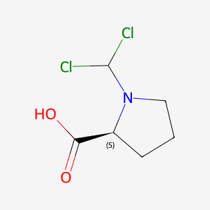 O=C(O)[C@@H]1CCCN1C(Cl)Cl